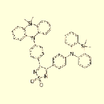 C[Si]1(C)c2ccccc2N(c2ccc(C3=NS(=O)(=O)N=C3c3ccc(N4c5ccccc5[Si](C)(C)c5ccccc54)cc3)cc2)c2ccccc21